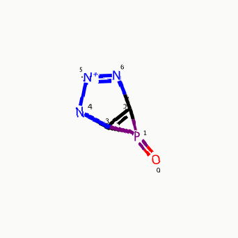 O=P12C3=C1N2[N+]=N3